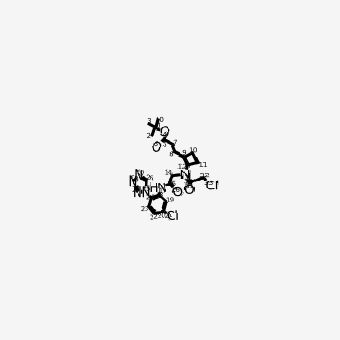 CC(C)(C)OC(=O)CCC1CCC1N(CC(=O)Nc1cc(Cl)ccc1-n1cnnn1)C(=O)CCl